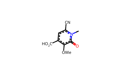 COc1c(C(=O)O)cc(C#N)n(C)c1=O